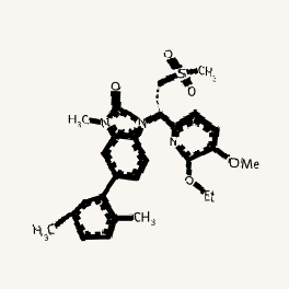 CCOc1nc([C@@H](CS(C)(=O)=O)n2c(=O)n(C)c3cc(-c4cc(C)ccc4C)ccc32)ccc1OC